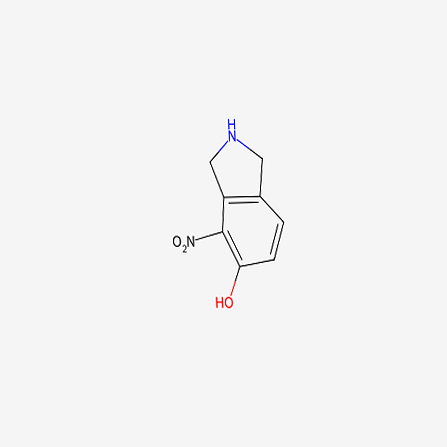 O=[N+]([O-])c1c(O)ccc2c1CNC2